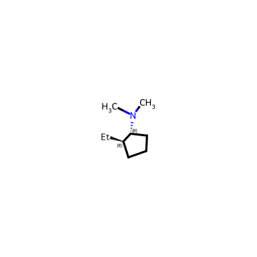 CC[C@@H]1CCC[C@H]1N(C)C